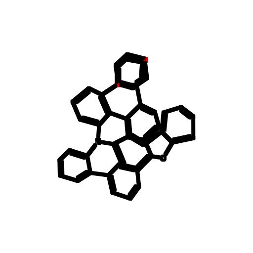 c1ccc(-c2ccccc2-c2c(-c3ccccc3)cccc2N(c2ccc3oc4ccccc4c3c2)c2ccccc2-c2ccccc2)cc1